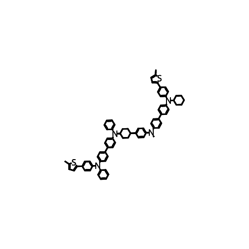 Cc1ccc(-c2ccc(N(c3ccccc3)c3ccc(-c4ccc(N(c5ccccc5)C5CCC(c6ccc(N(C)c7ccc(-c8ccc(N(c9ccc(-c%10ccc(C)s%10)cc9)C9CCCCC9)cc8)cc7)cc6)CC5)cc4)cc3)cc2)s1